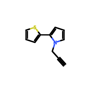 C#CCn1cccc1-c1cccs1